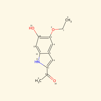 CCOc1cc2cc(C(C)=O)[nH]c2cc1O